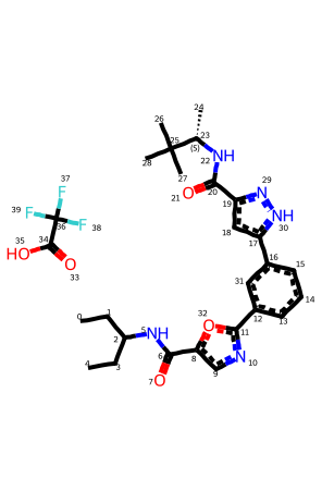 CCC(CC)NC(=O)c1cnc(-c2cccc(-c3cc(C(=O)N[C@@H](C)C(C)(C)C)n[nH]3)c2)o1.O=C(O)C(F)(F)F